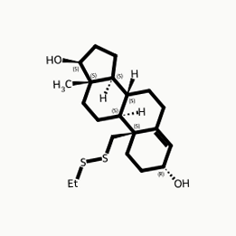 CCSSC[C@]12CC[C@@H](O)C=C1CC[C@@H]1[C@@H]2CC[C@]2(C)[C@@H](O)CC[C@@H]12